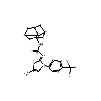 Cc1cn(-c2ccc(C(F)(F)F)cc2)c(=NC(=O)NC23CC4CC(CC(C4)C2)C3)s1